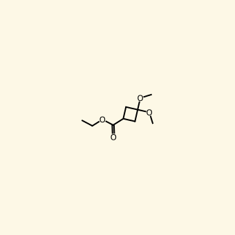 CCOC(=O)C1CC(OC)(OC)C1